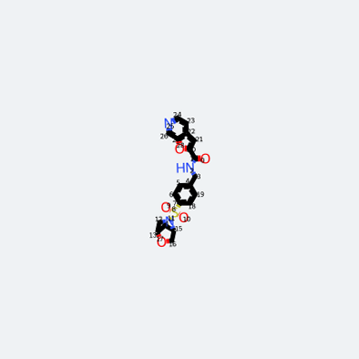 O=C(NCc1ccc(S(=O)(=O)N2CC3CC2CO3)cc1)c1cc2ccncc2o1